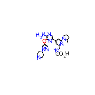 CC1CCCN1c1cc(-c2cnc(N)c(Oc3cnn(C4CCN(C)CC4)c3)n2)cc(CN(C)C(=O)O)n1